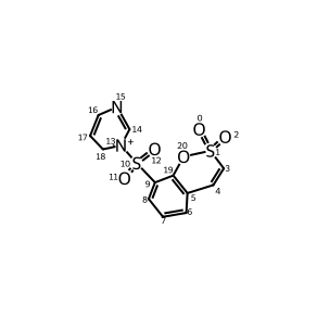 O=S1(=O)C=Cc2cccc(S(=O)(=O)[N+]3C=NC=CC3)c2O1